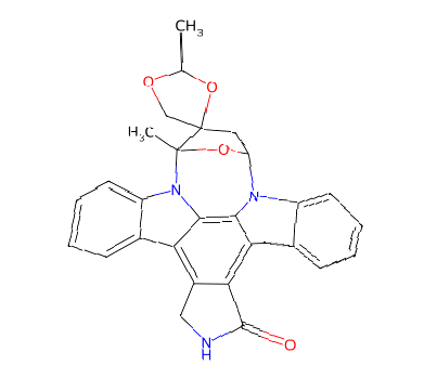 CC1OCC2(CC3OC2(C)n2c4ccccc4c4c5c(c6c7ccccc7n3c6c42)C(=O)NC5)O1